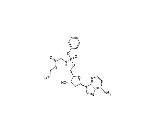 C=CCOC(=O)[C@H](C)N[P@](=O)(OC[C@H]1O[C@@H](n2cnc3c(N)ncnc32)C[C@@H]1O)Oc1ccccc1